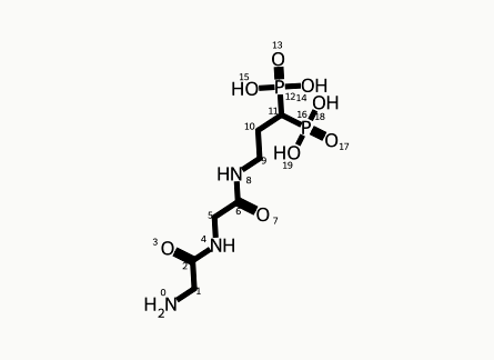 NCC(=O)NCC(=O)NCCC(P(=O)(O)O)P(=O)(O)O